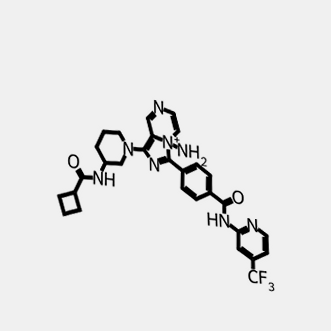 N[N+]12C=CN=CC1=C(N1CCCC(NC(=O)C3CCC3)C1)N=C2c1ccc(C(=O)Nc2cc(C(F)(F)F)ccn2)cc1